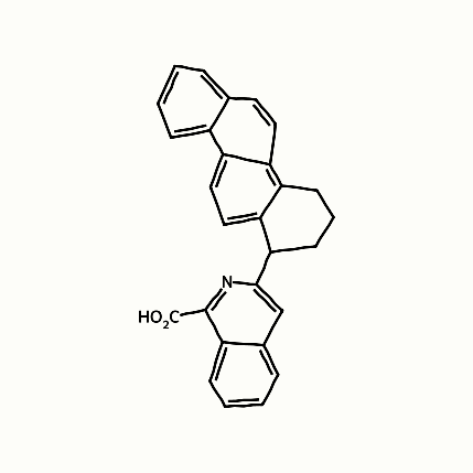 O=C(O)c1nc(C2CCCc3c2ccc2c3ccc3ccccc32)cc2ccccc12